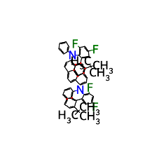 CC(C)(C)c1ccccc1-c1cc(F)cc(F)c1N(c1ccccc1)c1ccc2ccc3c(N(c4ccccc4)c4c(F)cc(F)cc4-c4ccccc4C(C)(C)C)ccc4ccc1c2c43